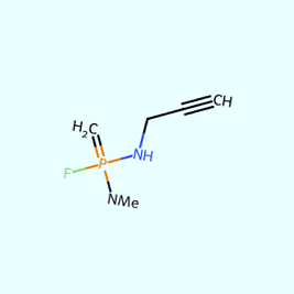 C#CCNP(=C)(F)NC